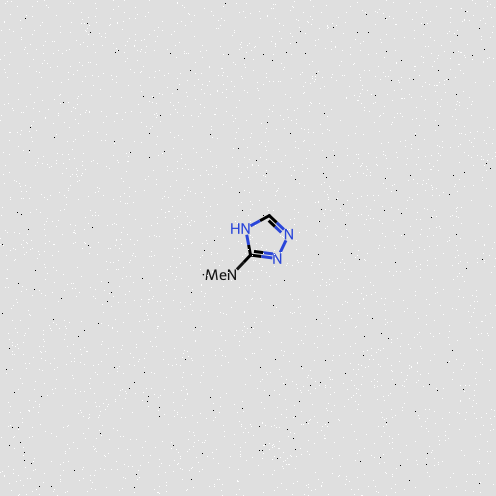 C[N]c1nnc[nH]1